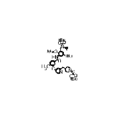 COc1c(CN(C(=O)OC(C)(C)C)C2CC2)cc(C(C)(C)C)cc1NC(=O)c1ccc(C)c(Oc2ccnc(CC3CCN(OC(=O)OC(C)(C)C)CC3)c2)c1